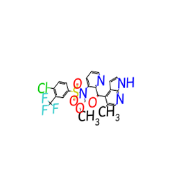 COCN(c1cccnc1C(=O)c1c(C)cnc2[nH]ccc12)S(=O)(=O)c1ccc(Cl)c(C(F)(F)F)c1